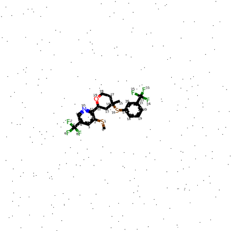 CSc1cc(C(F)(F)F)cnc1C1CC(C)(Sc2cccc(C(F)(F)F)c2)CCO1